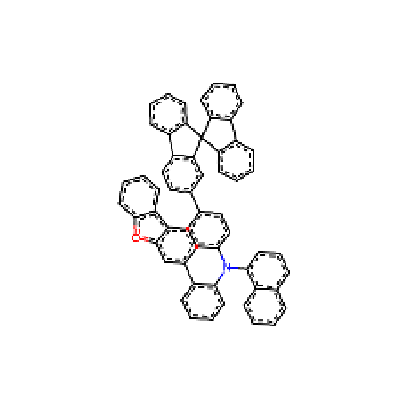 c1ccc(N(c2ccc(-c3ccc4c(c3)C3(c5ccccc5-c5ccccc53)c3ccccc3-4)cc2)c2cccc3ccccc23)c(-c2ccc3c(c2)oc2ccccc23)c1